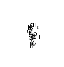 Cc1nnn(CC(=O)N2CCN(S(=O)(=O)c3ccc(OC(F)(F)F)cc3)[C@@H](C(=O)O)C2)n1